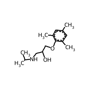 Cc1cc(C)c(OCC(O)CNC(C)C)c(C)c1